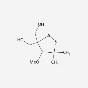 COC1C(C)(C)SSC1(CO)CO